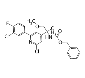 COCC(C)(NC(=O)OCc1ccccc1)c1cc(Cl)nc(-c2ccc(F)c(Cl)c2)c1